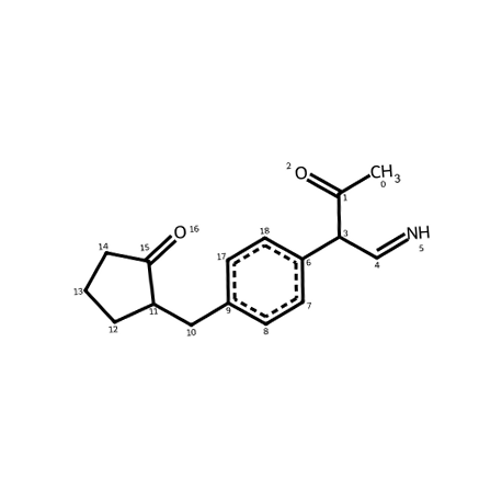 CC(=O)C(C=N)c1ccc(CC2CCCC2=O)cc1